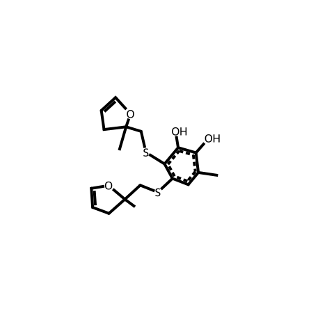 Cc1cc(SCC2(C)CC=CO2)c(SCC2(C)CC=CO2)c(O)c1O